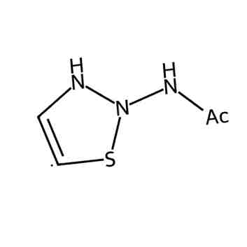 CC(=O)NN1NC=[C]S1